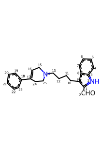 O=Cc1[nH]c2ccccc2c1CCCCN1CC=C(c2ccccc2)CC1